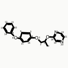 CC(COc1ccc(Oc2ccccc2)cc1)Oc1cnccn1